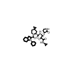 O=C(NC1CC1)C(=O)[C@H](C[C@@H]1CCNC1=O)NC(=O)[C@@H]1CC2(CCN1C(=O)c1cc3ccccc3n1-c1ccccc1)CC2